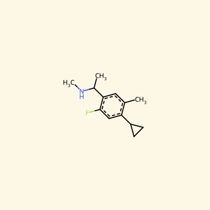 CNC(C)c1cc(C)c(C2CC2)cc1F